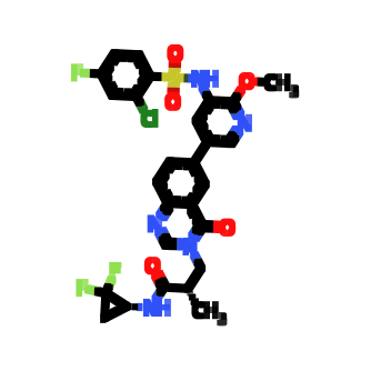 COc1ncc(-c2ccc3ncn(C[C@H](C)C(=O)N[C@@H]4CC4(F)F)c(=O)c3c2)cc1NS(=O)(=O)c1ccc(F)cc1Cl